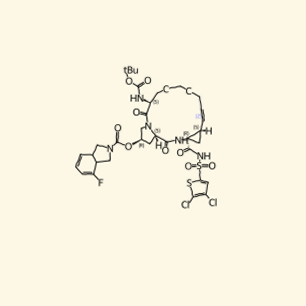 CC(C)(C)OC(=O)N[C@H]1CCCCC/C=C\[C@@H]2C[C@@]2(C(=O)NS(=O)(=O)c2cc(Cl)c(Cl)s2)NC(=O)[C@@H]2C[C@@H](OC(=O)N3CC4C=CC=C(F)C4C3)CN2C1=O